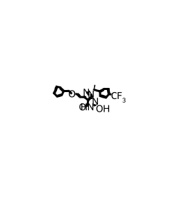 C[C@@H](c1ccc(C(F)(F)F)cc1)n1nc(C=COCc2ccccc2)c2c(=O)[nH]c(O)nc21